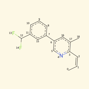 C/C=C\c1ncc(-c2cccc(C(F)F)c2)cc1C